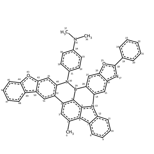 Cc1cc2c3c4c1c1ccccc1n4-c1cc4nc(-c5ccccc5)oc4cc1B3N(c1ccc(N(C)C)cc1)c1cc3oc4ccccc4c3cc1-2